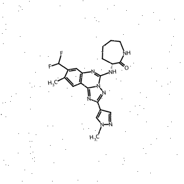 Cc1cc2c(cc1C(F)F)nc(N[C@@H]1CCCCNC1=O)n1nc(-c3cnn(C)c3)nc21